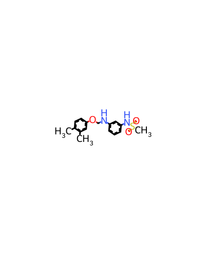 Cc1ccc(OCNc2cccc(NS(C)(=O)=O)c2)cc1C